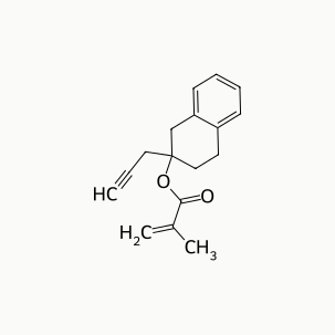 C#CCC1(OC(=O)C(=C)C)CCc2ccccc2C1